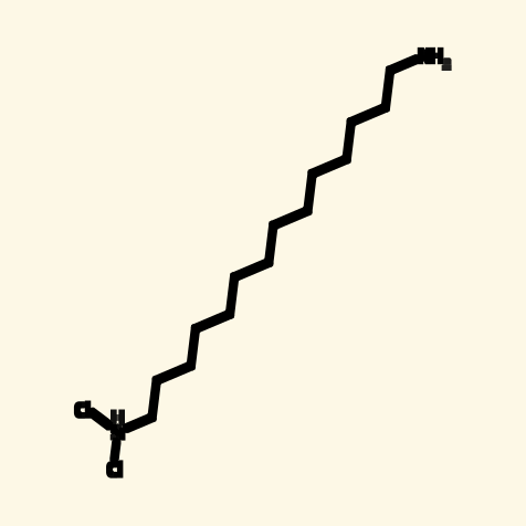 NCCCCCCCCCCCCCC[SiH](Cl)Cl